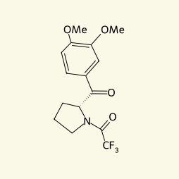 COc1ccc(C(=O)[C@H]2CCCN2C(=O)C(F)(F)F)cc1OC